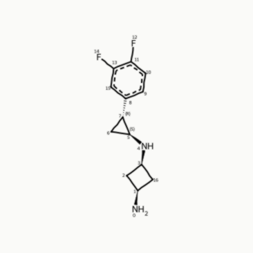 N[C@H]1C[C@@H](N[C@H]2C[C@@H]2c2ccc(F)c(F)c2)C1